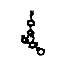 N#Cc1ccc(-c2cc3n(c2)Cc2nc(N4CCCCC4)ccc2-n2ccnc2-3)cc1